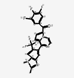 Cc1nc2cc(-c3nccn4c(C(=O)c5cc(F)c(F)c(F)c5)ccc34)c(C(F)(F)F)cc2n1C